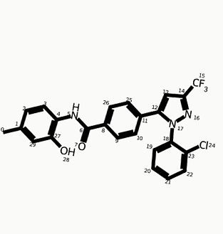 Cc1ccc(NC(=O)c2ccc(-c3cc(C(F)(F)F)nn3-c3ccccc3Cl)cc2)c(O)c1